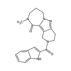 CN1CCCn2nc3c(c2C1=O)CN(C(=O)c1cc2ccccc2[nH]1)CC3